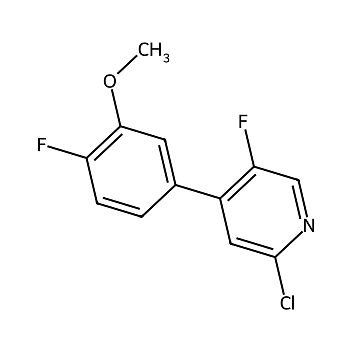 COc1cc(-c2cc(Cl)ncc2F)ccc1F